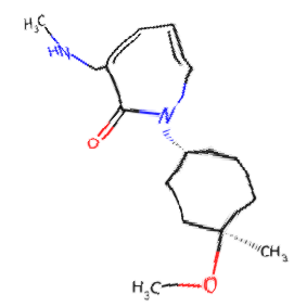 CNc1cccn([C@H]2CC[C@](C)(OC)CC2)c1=O